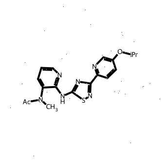 CC(=O)N(C)c1cccnc1Nc1nc(-c2ccc(OC(C)C)cn2)ns1